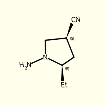 CC[C@@H]1C[C@H](C#N)CN1N